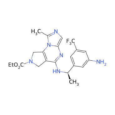 CCOC(=O)N1Cc2c(N[C@H](C)c3cc(N)cc(C(F)(F)F)c3)nc3cnc(C)n3c2C1